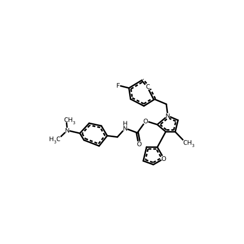 Cc1cn(Cc2ccc(F)cc2)c(OC(=O)NCc2ccc(N(C)C)cc2)c1-c1ccco1